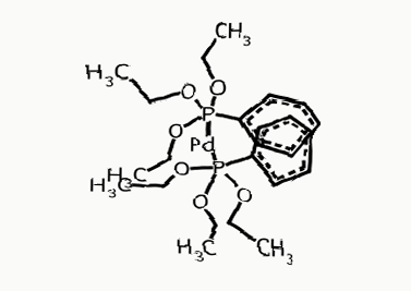 CCO[P](OCC)(OCC)([Pd][P](OCC)(OCC)(OCC)c1ccccc1)c1ccccc1